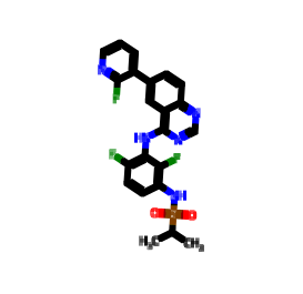 CC(C)S(=O)(=O)Nc1ccc(F)c(Nc2ncnc3ccc(-c4cccnc4F)cc23)c1F